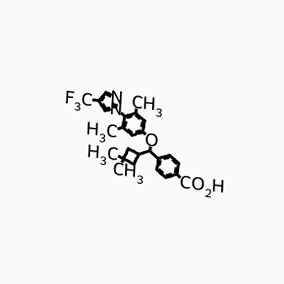 Cc1cc(OC(c2ccc(C(=O)O)cc2)C2CC(C)(C)C2)cc(C)c1-n1cc(C(F)(F)F)cn1